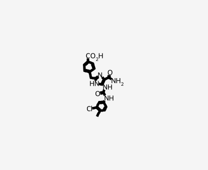 Cc1ccc(NC(=O)Nc2[nH]c(Cc3ccc(C(=O)O)cc3)nc2C(N)=O)cc1Cl